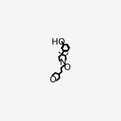 C[C@H]1CN(C(=O)CCC2CCOCC2)CC[C@]1(C)c1cccc(O)c1